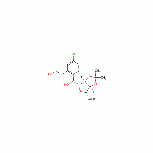 CO[C@@H]1O[C@H](C(O)c2ccc(Cl)cc2CCO)[C@H]2OC(C)(C)O[C@@H]12